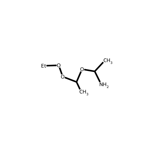 CCOOC(C)OC(C)N